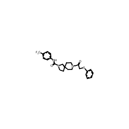 O=C(CSc1ccccc1)N1CCC2(CC1)CCN(C(=O)Nc1ccc(C(F)(F)F)cc1)C2